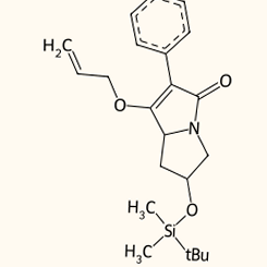 C=CCOC1=C(c2ccccc2)C(=O)N2CC(O[Si](C)(C)C(C)(C)C)CC12